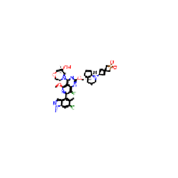 COc1nc(-c2c(C)c(Cl)cc3[nH]ncc23)c(F)c2nc(OC[C@]34CCC[C@H]3N(C3CC5(C3)CS(=O)(=O)C5)CCC4)nc(N3CCOC[C@@](C)(O)C3)c12